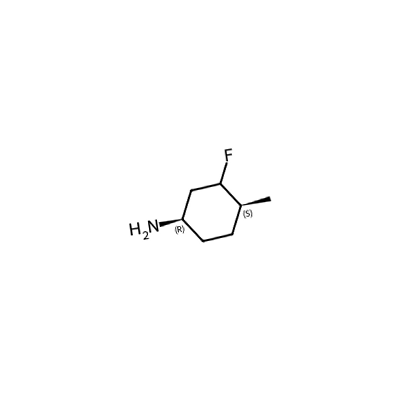 C[C@H]1CC[C@@H](N)CC1F